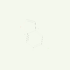 Fc1ccc2oc[c]c2c1